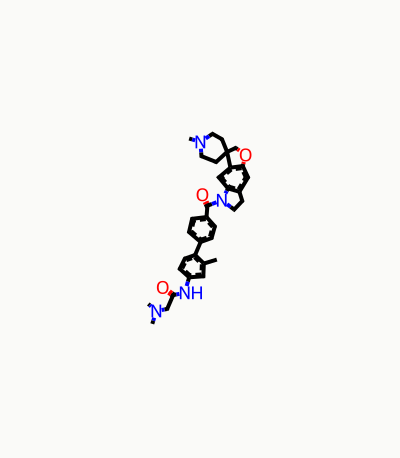 Cc1cc(NC(=O)CN(C)C)ccc1-c1ccc(C(=O)N2CCc3cc4c(cc32)C2(CCN(C)CC2)CO4)cc1